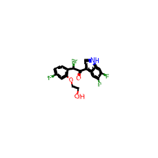 O=C(c1c[nH]c2cc(F)c(F)cc12)C(Br)c1ccc(F)cc1OCCO